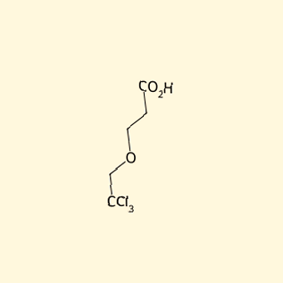 O=C(O)CCOCC(Cl)(Cl)Cl